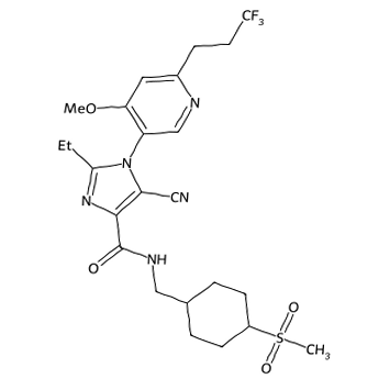 CCc1nc(C(=O)NCC2CCC(S(C)(=O)=O)CC2)c(C#N)n1-c1cnc(CCC(F)(F)F)cc1OC